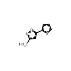 O=C(O)c1cc(-c2cccs2)on1